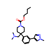 CCCCOC(=O)N1CCC(CN(C)C)(c2cccc(-c3cnn(C)c3)c2)CC1